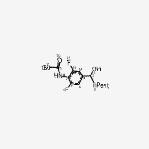 CCCCCC(O)c1cc(F)c(NC(=O)C(C)(C)C)c(F)c1